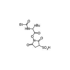 CCCCC(NC(=O)CC)C(=O)ON1C(=O)CC(S(=O)(=O)O)C1=O